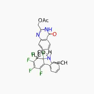 C#CCN(Cc1cc2c(=O)[nH]c(COC(C)=O)nc2cc1C)C1(F)C(c2ccccc2)=C(F)C(F)=C(F)C1(F)C(=O)O